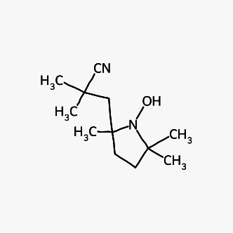 CC(C)(C#N)CC1(C)CCC(C)(C)N1O